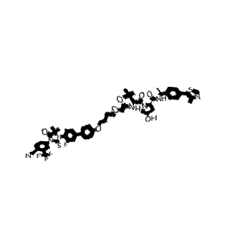 Cc1ncsc1-c1ccc([C@H](C)NC(=O)[C@@H]2C[C@@H](O)CN2C(=O)[C@@H](NC(=O)COCCCCOc2ccc(-c3ccc(N4C(=S)N(c5ccc(C#N)c(C(F)(F)F)c5)C(=O)C4(C)C)c(F)c3)cc2)C(C)(C)C)cc1